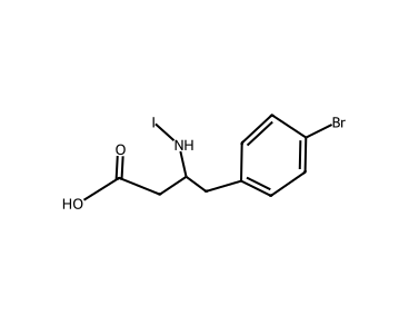 O=C(O)CC(Cc1ccc(Br)cc1)NI